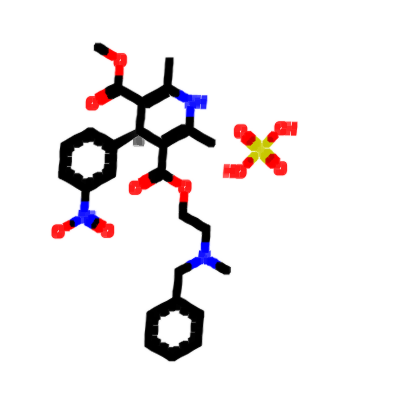 COC(=O)C1=C(C)NC(C)=C(C(=O)OCCN(C)Cc2ccccc2)[C@H]1c1cccc([N+](=O)[O-])c1.O=S(=O)(O)O